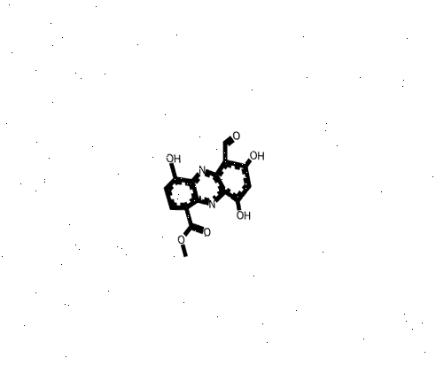 COC(=O)c1ccc(O)c2nc3c(C=O)c(O)cc(O)c3nc12